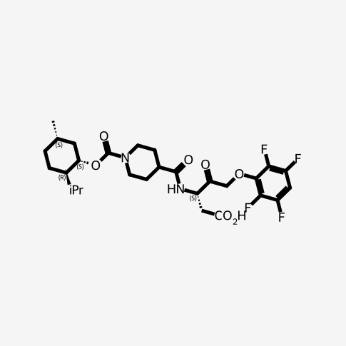 CC(C)[C@H]1CC[C@H](C)C[C@@H]1OC(=O)N1CCC(C(=O)N[C@@H](CC(=O)O)C(=O)COc2c(F)c(F)cc(F)c2F)CC1